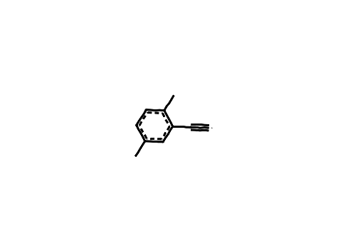 [C]#Cc1cc(C)ccc1C